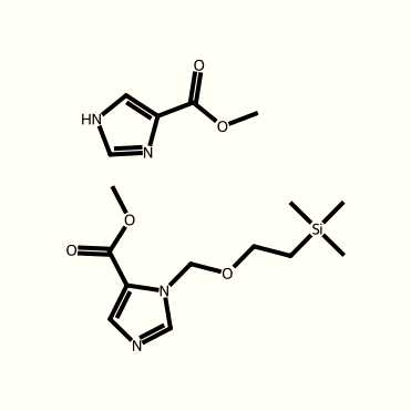 COC(=O)c1c[nH]cn1.COC(=O)c1cncn1COCC[Si](C)(C)C